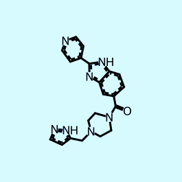 O=C(c1ccc2[nH]c(-c3ccncc3)nc2c1)N1CCN(Cc2ccn[nH]2)CC1